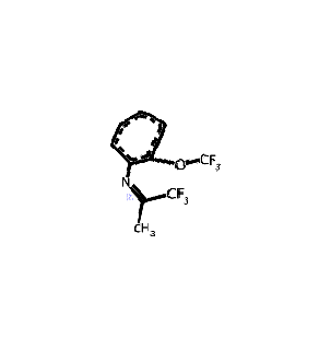 C/C(=N/c1ccccc1OC(F)(F)F)C(F)(F)F